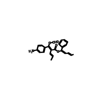 C/C=C/C=C(/OC(=O)C(/C=C/C)=C(\O[C]=O)c1ccc(N)cc1)c1ccccc1